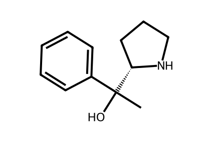 CC(O)(c1ccccc1)[C@@H]1CCCN1